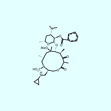 CO[C@]1(C)C[C@@H](C)CN(C(=O)O)[C@H](CNC2CC2)COC(=O)C(C)C(=O)[C@H](C)[C@H]1O[C@@H]1O[C@H](C)C[C@H](N(C)C)[C@H]1OC(=O)c1ccccc1